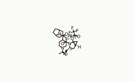 CC(=O)N1CCC(C(=O)N2C3CCC2CC([C@H](N)C(=O)N2[C@H](C#N)C[C@@H]4C[C@]42OC(=O)C(F)(F)F)C3)CC1